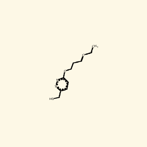 CCOCCCOc1ccc(CO)nn1